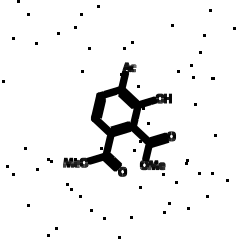 COC(=O)c1ccc(C(C)=O)c(O)c1C(=O)OC